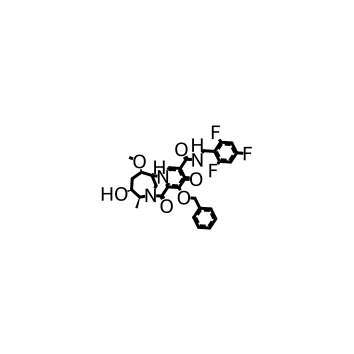 CO[C@H]1C[C@@H](O)[C@H](C)N2C[C@H]1n1cc(C(=O)NCc3c(F)cc(F)cc3F)c(=O)c(OCc3ccccc3)c1C2=O